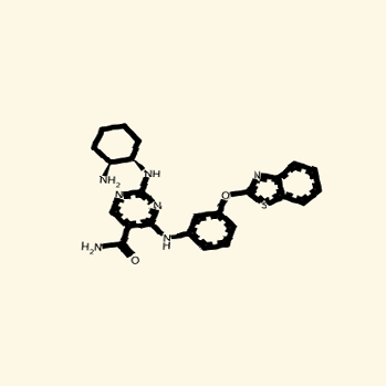 NC(=O)c1cnc(N[C@@H]2CCCC[C@@H]2N)nc1Nc1cccc(Oc2nc3ccccc3s2)c1